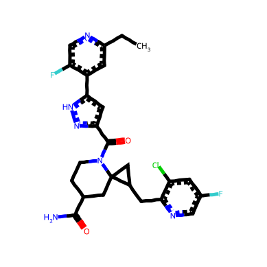 CCc1cc(-c2cc(C(=O)N3CCC(C(N)=O)CC34CC4Cc3ncc(F)cc3Cl)n[nH]2)c(F)cn1